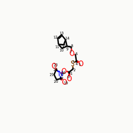 O=C(CSC(=O)COCC1CC2C=CC1C2)ON1C(=O)CCC1=O